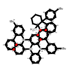 CC(C)(C)c1ccc(C23CCCCC2(C)N(c2cc4c5c(c2)N(c2ccc(C(C)(C)C)cc2-c2ccccc2)c2ccccc2B5c2ccccc2N4c2ccc(C(C)(C)C)cc2-c2ccccc2)c2ccccc23)cc1